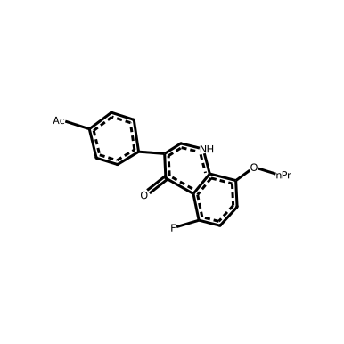 CCCOc1ccc(F)c2c(=O)c(-c3ccc(C(C)=O)cc3)c[nH]c12